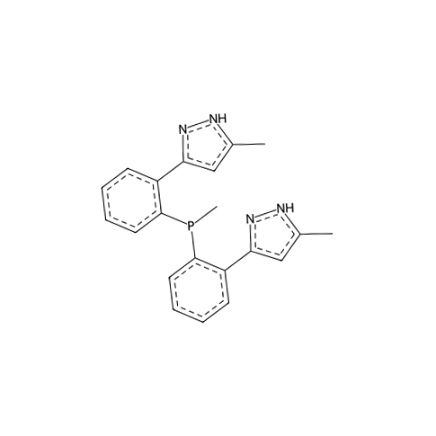 Cc1cc(-c2ccccc2P(C)c2ccccc2-c2cc(C)[nH]n2)n[nH]1